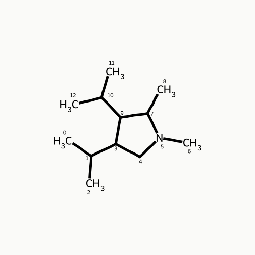 CC(C)C1CN(C)C(C)C1C(C)C